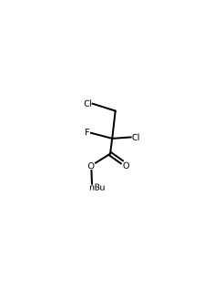 CCCCOC(=O)C(F)(Cl)CCl